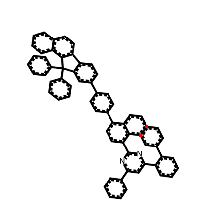 c1ccc(-c2cc(-c3ccccc3-c3ccccc3)nc(-c3ccc(-c4ccc(-c5ccc6c(c5)C(c5ccccc5)(c5ccccc5)c5c-6ccc6ccccc56)cc4)c4ccccc34)n2)cc1